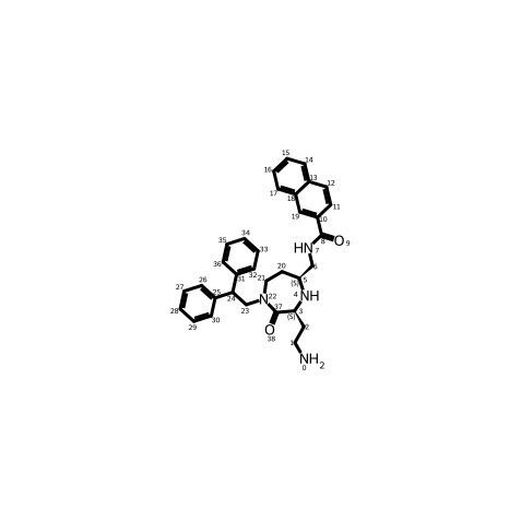 NCC[C@@H]1N[C@H](CNC(=O)c2ccc3ccccc3c2)CCN(CC(c2ccccc2)c2ccccc2)C1=O